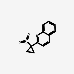 O=[SH](=O)C1(c2ccc3ccccc3n2)CC1